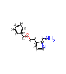 NCc1ncccc1CCOCc1ccccc1